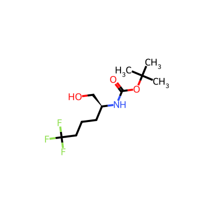 CC(C)(C)OC(=O)N[C@H](CO)CCCC(F)(F)F